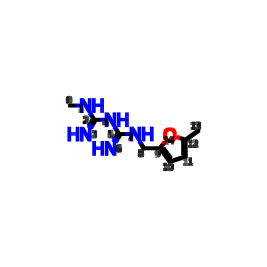 CNC(=N)NC(=N)NCc1ccc(C)o1